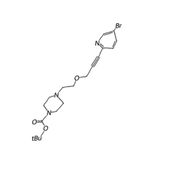 CC(C)(C)OC(=O)N1CCN(CCOCC#Cc2ccc(Br)cn2)CC1